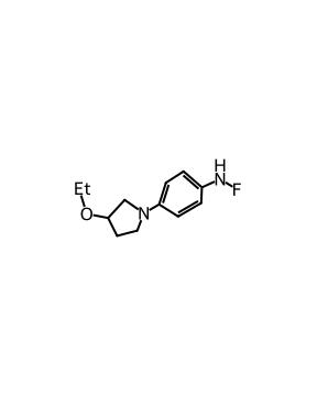 CCOC1CCN(c2ccc(NF)cc2)C1